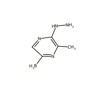 Bc1cnc(NN)c(C)n1